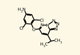 CC(C)c1cc(Oc2c(Cl)cc(N)cc2Cl)nn2nnnc12